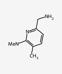 CNc1nc(CN)ccc1C